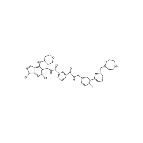 CCc1nc2c(cnn2CC)c(NC2CCOCC2)c1CNC(=O)c1cccc(C(=O)NCc2ccc(F)c(-c3cccc(CN4CCCNCC4)c3)c2)n1